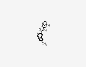 Cc1cc2cc(C(=O)N[C@@H]3C[C@H]4CCN(C4)C3)ncn2c1